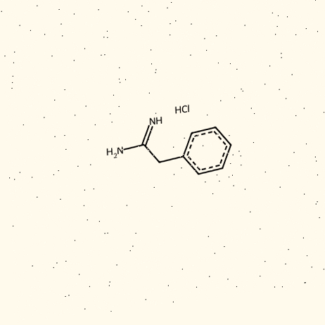 Cl.N=C(N)Cc1ccccc1